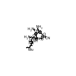 C=C/C(=C\C=C(/C)c1nc(C)c(C(=O)N[C@@H](CCN)C(=O)N(C)[C@@H]2C(=O)N[C@@H](C)C(=O)N[C@H](C(=O)NCC#N)Cc3ccc(OCCN)c(c3)-c3cc2ccc3OCCN)c(CCC)n1)C(C)(C)C